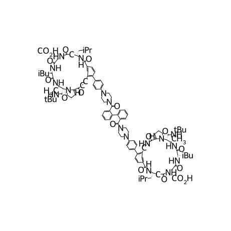 CC[C@H](C)[C@@H]1NC(=O)[C@H](CC(=O)O)NC(=O)C[C@H](CC(C)C)NC(=O)c2ccc(-c3ccc(N4CCN(C(=O)c5ccccc5-c5ccccc5C(=O)N5CCN(c6ccc(-c7ccc8cc7CNC(=O)[C@@H]7CCCN7[C@H](C(=O)NC(C)(C)C)[C@H](C)NC(=O)[C@H]([C@@H](C)CC)NC(=O)[C@H](CC(=O)O)NC(=O)C[C@H](CC(C)C)NC8=O)cc6)CC5)CC4)cc3)c(c2)CCC(=O)[C@@H]2CCCN2[C@H](C(=O)NC(C)(C)C)[C@H](C)NC1=O